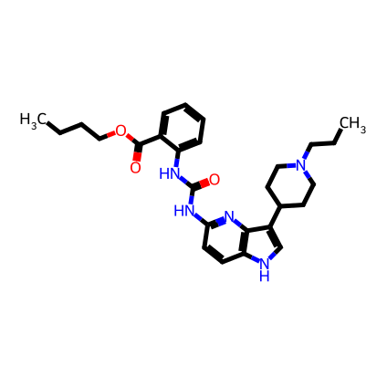 CCCCOC(=O)c1ccccc1NC(=O)Nc1ccc2[nH]cc(C3CCN(CCC)CC3)c2n1